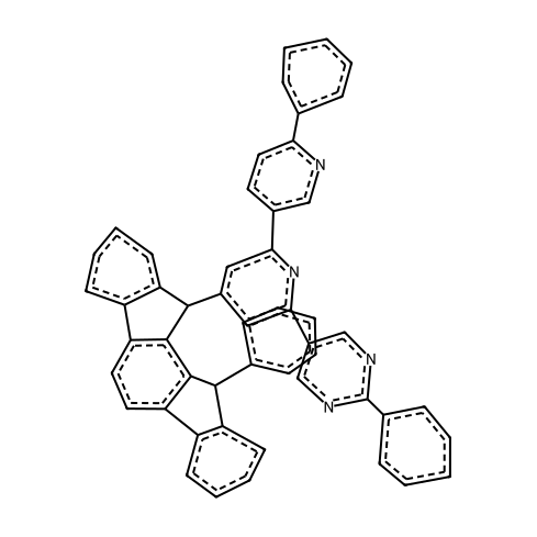 c1ccc(-c2ccc(-c3cc(C4c5ccccc5-c5ccc6c(c54)C(c4ccccc4)c4ccccc4-6)cc(-c4cnc(-c5ccccc5)nc4)n3)cn2)cc1